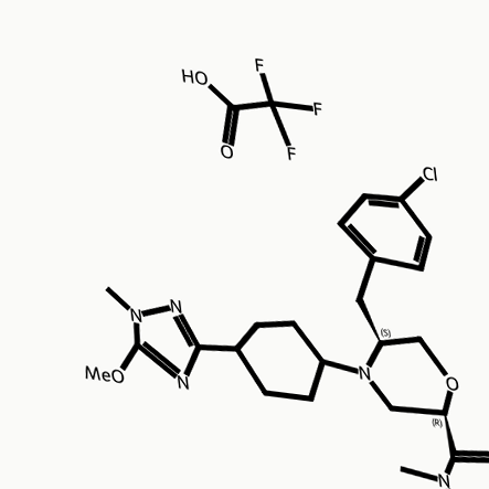 COc1nc(C2CCC(N3C[C@H](C(=O)N(C)C)OC[C@@H]3Cc3ccc(Cl)cc3)CC2)nn1C.O=C(O)C(F)(F)F